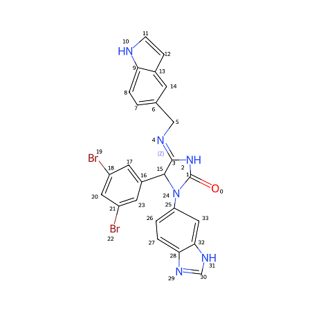 O=C1N/C(=N\Cc2ccc3[nH]ccc3c2)C(c2cc(Br)cc(Br)c2)N1c1ccc2nc[nH]c2c1